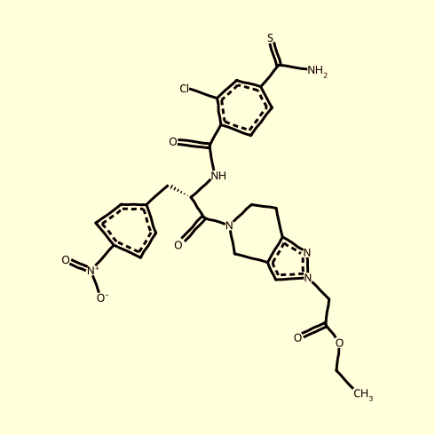 CCOC(=O)Cn1cc2c(n1)CCN(C(=O)[C@H](Cc1ccc([N+](=O)[O-])cc1)NC(=O)c1ccc(C(N)=S)cc1Cl)C2